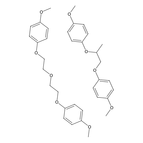 COc1ccc(OCC(C)Oc2ccc(OC)cc2)cc1.COc1ccc(OCCOCCOc2ccc(OC)cc2)cc1